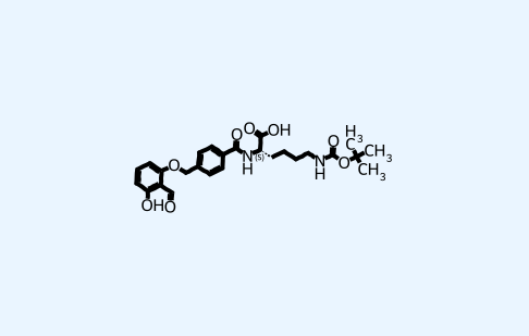 CC(C)(C)OC(=O)NCCCC[C@H](NC(=O)c1ccc(COc2cccc(O)c2C=O)cc1)C(=O)O